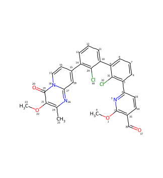 COc1nc(-c2cccc(-c3cccc(-c4ccn5c(=O)c(OC)c(C)nc5c4)c3Cl)c2Cl)ccc1C=O